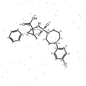 CC1[C@H](c2ccccc2)[C@]1(NS(=O)(=O)N1CCCN(c2ccc(Cl)cn2)CC1)C(=O)O